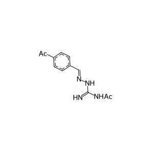 CC(=O)NC(=N)NN=Cc1ccc(C(C)=O)cc1